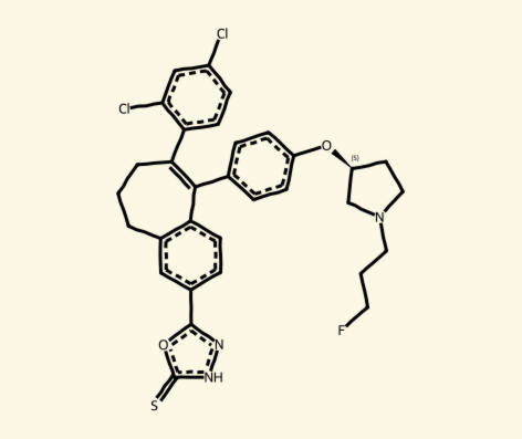 FCCCN1CC[C@H](Oc2ccc(C3=C(c4ccc(Cl)cc4Cl)CCCc4cc(-c5n[nH]c(=S)o5)ccc43)cc2)C1